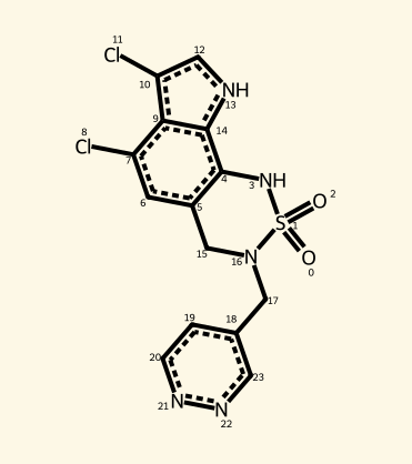 O=S1(=O)Nc2c(cc(Cl)c3c(Cl)c[nH]c23)CN1Cc1ccnnc1